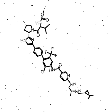 COC(=O)N[C@H](C(=O)N1C[C@@H](C)C[C@H]1c1nc(-c2ccc(-c3cc(Cl)c(NC(=O)c4ccc(NC[C@H](C)NC[C@H]5CC5(C)C)nc4)cc3C(F)(F)F)cc2)c[nH]1)C(C)C